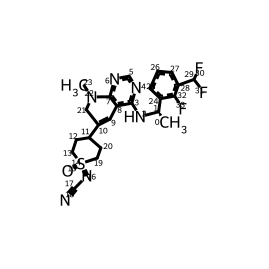 C[C@@H](Nc1ncnc2c1C=C(C1CCS(=O)(=NC#N)CC1)CN2C)c1cccc(C(F)F)c1F